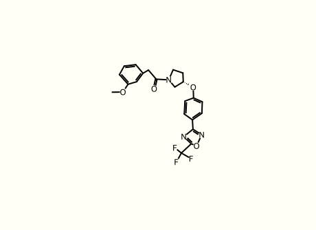 COc1cccc(CC(=O)N2CC[C@H](Oc3ccc(-c4noc(C(F)(F)F)n4)cc3)C2)c1